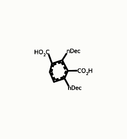 CCCCCCCCCCc1ccc(C(=O)O)c(CCCCCCCCCC)c1C(=O)O